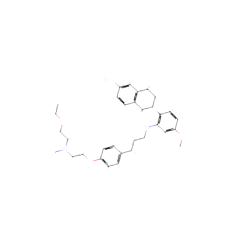 CCOCCN(C)CCOc1ccc(CCCNc2cc(OC)ccc2[C@@H]2CCc3cc(O)ccc3C2)cc1